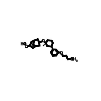 C[C@]1(OC2CC3CC(CC(OO)C3)C2)CCC[C@@H](c2cccc(OCCCN)c2)C1